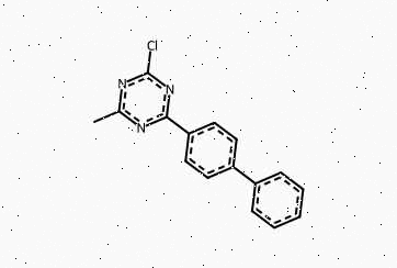 Cc1nc(Cl)nc(-c2ccc(-c3ccccc3)cc2)n1